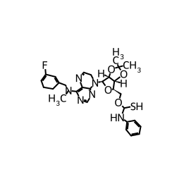 CN(CC1=CC(F)=CCC1)c1ncnc2c1N=CCN2[C@@H]1O[C@H](COC(S)Nc2ccccc2)[C@H]2OC(C)(C)O[C@H]21